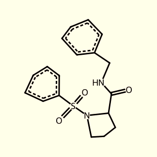 O=C(NCc1ccccc1)C1CCCN1S(=O)(=O)c1ccccc1